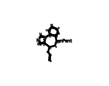 C=CCC1CC(CCCCC)c2ccccc2-n2cnnc21